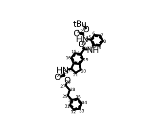 CC(C)(C)OC(=O)Nc1ccccc1NC(=O)c1ccc2c(c1)CCC2NC(=O)OCCCc1ccccc1